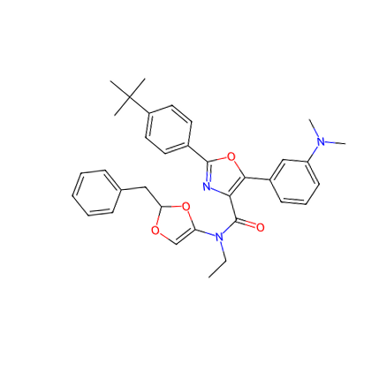 CCN(C(=O)c1nc(-c2ccc(C(C)(C)C)cc2)oc1-c1cccc(N(C)C)c1)C1=COC(Cc2ccccc2)O1